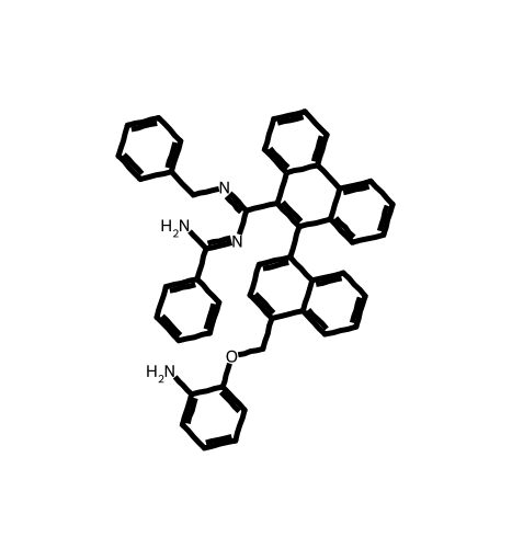 N/C(=N\C(=N/Cc1ccccc1)c1c(-c2ccc(COc3ccccc3N)c3ccccc23)c2ccccc2c2ccccc12)c1ccccc1